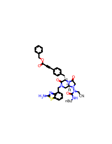 CCCCNC(=O)N(CC#N)N1CC(=O)N2[C@@H](Cc3ccc(C#CC(=O)OCc4ccccc4)cc3)C(=O)N(Cc3cccc4sc(N)nc34)C[C@@H]21